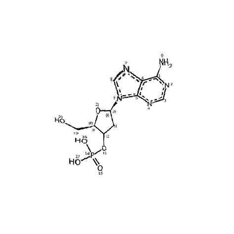 Nc1ncnc2c1ncn2[C@H]1CC(OP(=O)(O)O)[C@@H](CO)O1